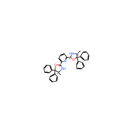 C[C@@H]1N[C@H](c2cccc([C@H]3N[C@@H](C)C(c4ccccc4)(c4ccccc4)O3)n2)OC1(c1ccccc1)c1ccccc1